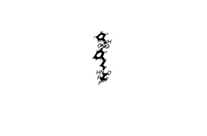 O=C(NCC=Cc1cccc(S(=O)(=O)NC2CCCC2)c1)C(F)(F)F